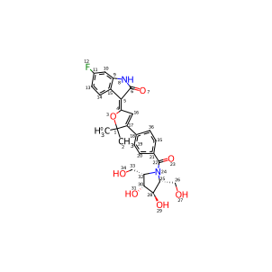 CC1(C)O/C(=C2/C(=O)Nc3cc(F)ccc32)C=C1c1ccc(C(=O)N2[C@H](CO)[C@@H](O)[C@H](O)[C@@H]2CO)cc1